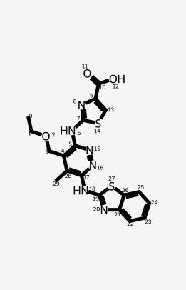 CCOCc1c(Nc2nc(C(=O)O)cs2)nnc(Nc2nc3ccccc3s2)c1C